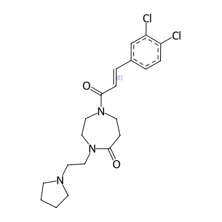 O=C(/C=C/c1ccc(Cl)c(Cl)c1)N1CCC(=O)N(CCN2CCCC2)CC1